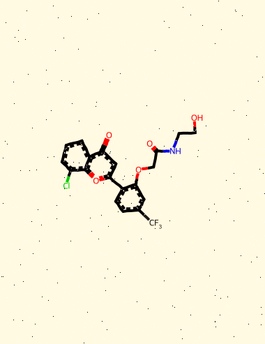 O=C(COc1cc(C(F)(F)F)ccc1-c1cc(=O)c2cccc(Cl)c2o1)NCCO